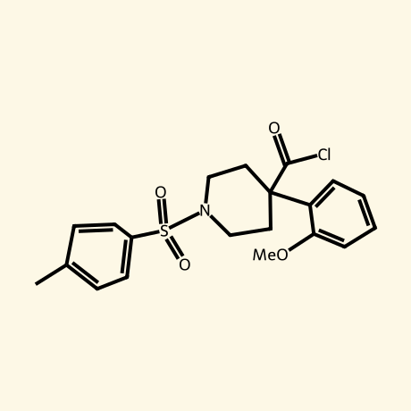 COc1ccccc1C1(C(=O)Cl)CCN(S(=O)(=O)c2ccc(C)cc2)CC1